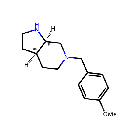 COc1ccc(CN2CC[C@H]3CCN[C@H]3C2)cc1